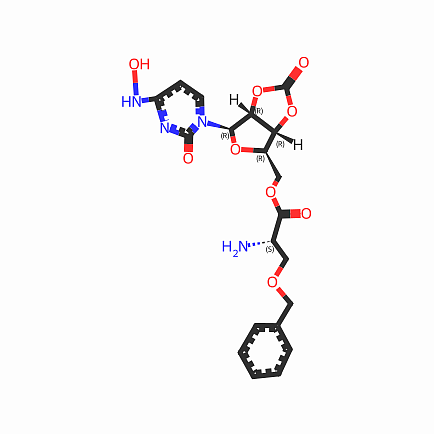 N[C@@H](COCc1ccccc1)C(=O)OC[C@H]1O[C@@H](n2ccc(NO)nc2=O)[C@@H]2OC(=O)O[C@@H]21